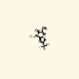 Cc1nn2cc(C(F)(F)F)nc2n(C)c1=O